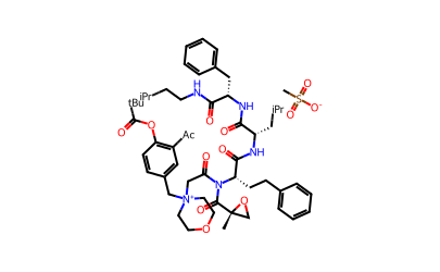 CC(=O)c1cc(C[N+]2(CC(=O)N(C(=O)[C@@]3(C)CO3)[C@@H](CCc3ccccc3)C(=O)N[C@@H](CC(C)C)C(=O)N[C@@H](Cc3ccccc3)C(=O)NCCC(C)C)CCOCC2)ccc1OC(=O)C(C)(C)C.CS(=O)(=O)[O-]